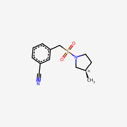 C[C@@H]1CCN(S(=O)(=O)Cc2cccc(C#N)c2)C1